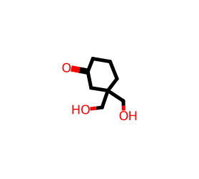 O=C1CCCC(CO)(CO)C1